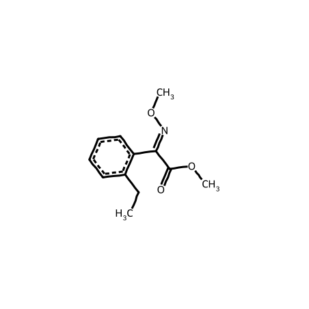 CCc1ccccc1/C(=N\OC)C(=O)OC